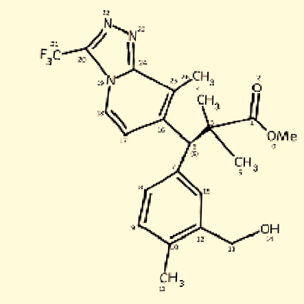 COC(=O)C(C)(C)[C@@H](c1ccc(C)c(CO)c1)c1ccn2c(C(F)(F)F)nnc2c1C